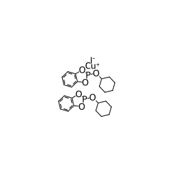 [Cu+].[I-].c1ccc2c(c1)OP(OC1CCCCC1)O2.c1ccc2c(c1)OP(OC1CCCCC1)O2